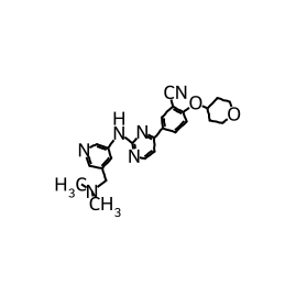 CN(C)Cc1cncc(Nc2nccc(-c3ccc(OC4CCOCC4)c(C#N)c3)n2)c1